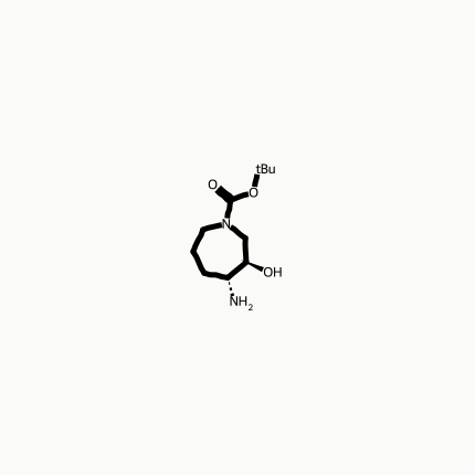 CC(C)(C)OC(=O)N1CCC[C@@H](N)[C@H](O)C1